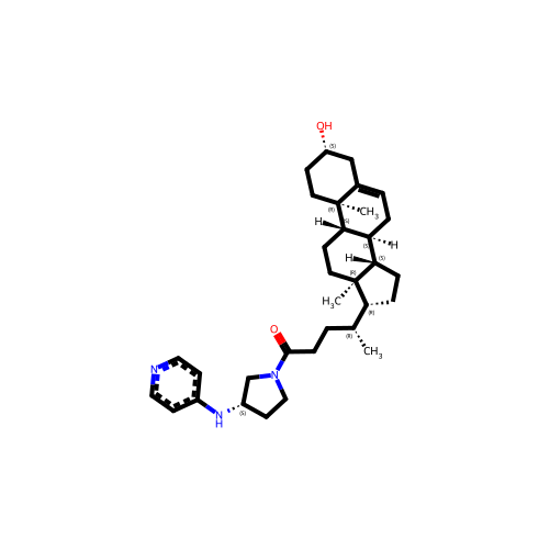 C[C@H](CCC(=O)N1CC[C@H](Nc2ccncc2)C1)[C@H]1CC[C@H]2[C@@H]3CC=C4C[C@@H](O)CC[C@]4(C)[C@H]3CC[C@]12C